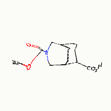 CC(C)(C)OC(=O)N1CC2CC(C1)C(C(=O)O)C2